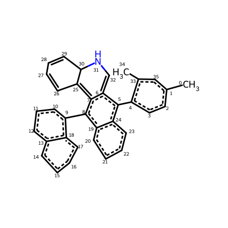 Cc1ccc(-c2c3c(c(-c4cccc5ccccc45)c4ccccc24)=C2C=CC=CC2NC=3)c(C)c1